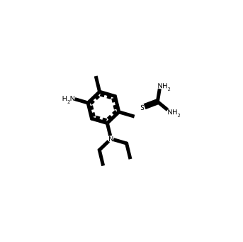 CCN(CC)c1cc(N)c(C)cc1C.NC(N)=S